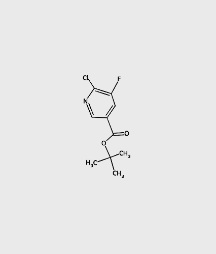 CC(C)(C)OC(=O)c1cnc(Cl)c(F)c1